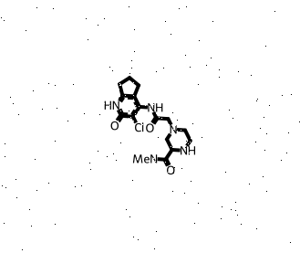 CNC(=O)C1CN(CC(=O)Nc2c3c([nH]c(=O)c2Cl)CCC3)CCN1